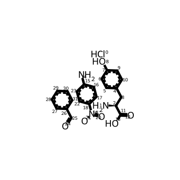 Cl.N[C@@H](Cc1ccc(O)cc1)C(=O)O.Nc1ccc([N+](=O)[O-])cc1.O=Cc1ccccc1